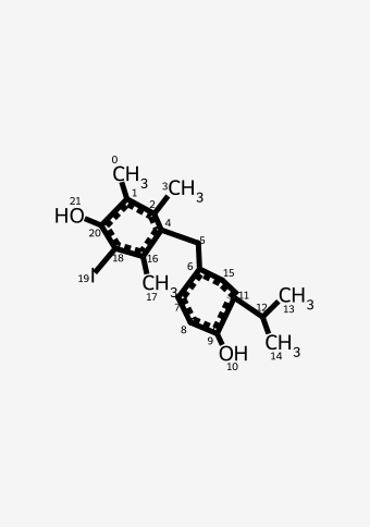 Cc1c(C)c(Cc2ccc(O)c(C(C)C)c2)c(C)c(I)c1O